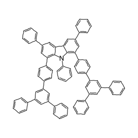 c1ccc(-c2cc(-c3ccccc3)cc(-c3ccc(-c4cc(-c5ccccc5)cc5c6cc(-c7ccccc7)cc(-c7ccc(-c8cc(-c9ccccc9)cc(-c9ccccc9)c8)cc7)c6n(-c6ccccc6)c45)cc3)c2)cc1